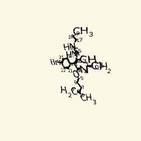 C=C/N=C(OCCCC(=C)C)\C(=C(/C)NSNCCC)c1ccc(Br)cc1